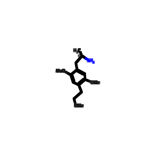 COCCc1cc(OC)c(C[C@@H](C)N)cc1OC